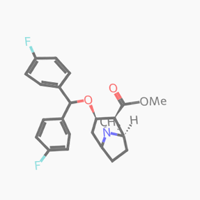 COC(=O)[C@H]1[C@H]2CCC(C[C@H]1OC(c1ccc(F)cc1)c1ccc(F)cc1)N2C